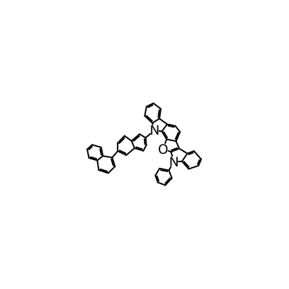 c1ccc(-n2c3ccccc3c3c4ccc5c6ccccc6n(-c6ccc7cc(-c8cccc9ccccc89)ccc7c6)c5c4oc32)cc1